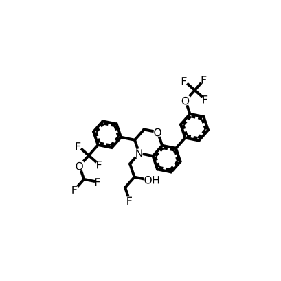 OC(CF)CN1c2cccc(-c3cccc(OC(F)(F)F)c3)c2OCC1c1cccc(C(F)(F)OC(F)F)c1